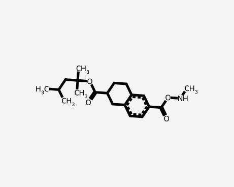 CNOC(=O)c1ccc2c(c1)CCC(C(=O)OC(C)(C)CC(C)C)C2